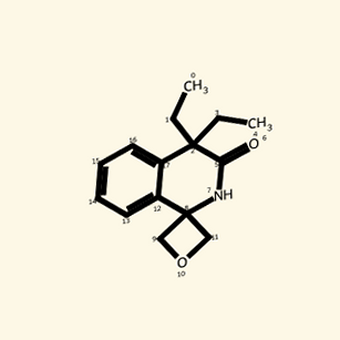 CCC1(CC)C(=O)NC2(COC2)c2ccccc21